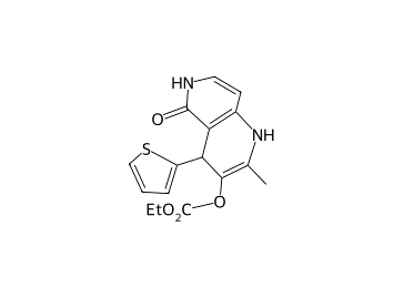 CCOC(=O)OC1=C(C)Nc2cc[nH]c(=O)c2C1c1cccs1